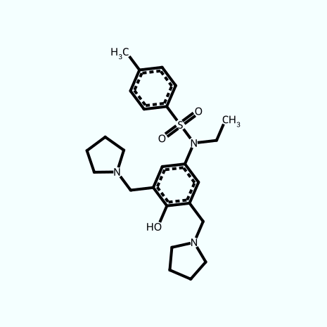 CCN(c1cc(CN2CCCC2)c(O)c(CN2CCCC2)c1)S(=O)(=O)c1ccc(C)cc1